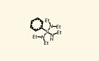 CCN[Si](c1ccccc1)(N(CC)CC)N(CC)CC